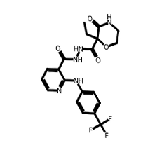 CCC1(C(=O)NNC(=O)c2cccnc2Nc2ccc(C(F)(F)F)cc2)OCCNC1=O